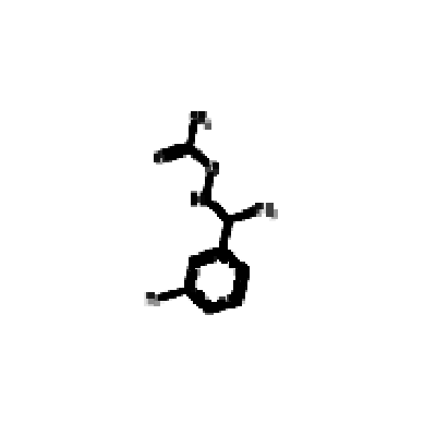 CC(NOC(=O)C(F)(F)F)c1cccc(Br)c1